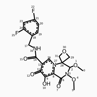 COC1N(OC)C(=O)c2c(O)c(=O)c(C(=O)NCc3ccc(F)cc3F)cn2C12COC2